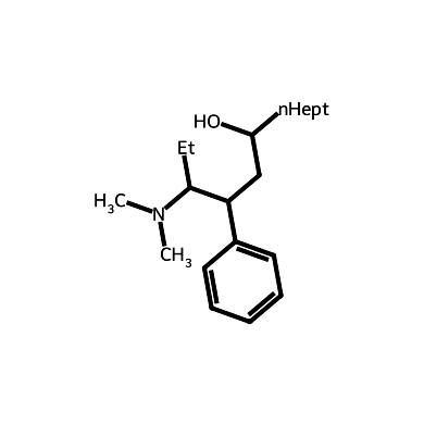 CCCCCCCC(O)CC(c1ccccc1)C(CC)N(C)C